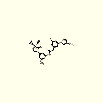 Cc1cnn(-c2cc(F)cc(CC(=O)Nc3cc(N4CC[C@@](C#N)(C5CC5)C4=O)cc(C)n3)c2)c1